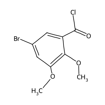 COc1cc(Br)cc(C(=O)Cl)c1OC